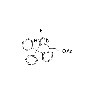 CC(=O)OCCCc1nc(F)[nH]c1C(c1ccccc1)(c1ccccc1)c1ccccc1